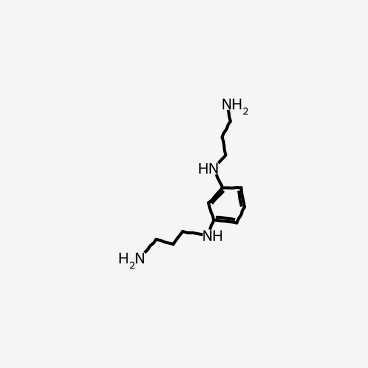 NCCCNc1cccc(NCCCN)c1